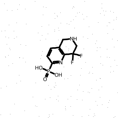 O=P(O)(O)c1ccc2c(n1)C(F)(F)CNC2